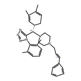 CC1=CCC([C@@H](c2nnnn2-c2c(C)cccc2C)N2CCN(C/C=C/c3ccccc3)CC2)C=C1C